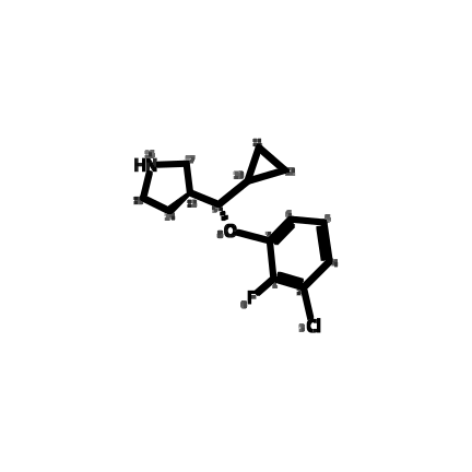 Fc1c(Cl)cccc1O[C@@H](C1CC1)[C@H]1CCNC1